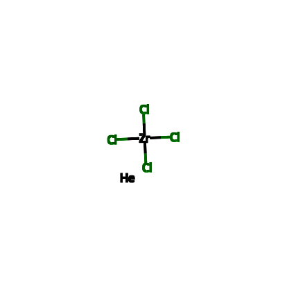 [Cl][Zr]([Cl])([Cl])[Cl].[He]